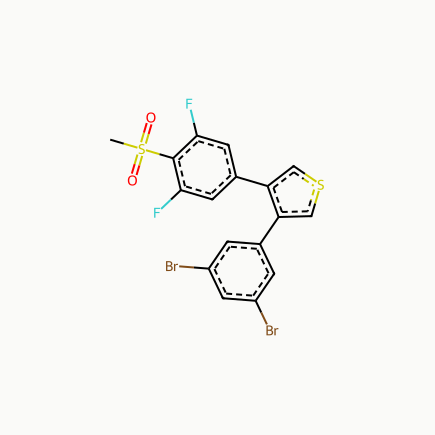 CS(=O)(=O)c1c(F)cc(-c2cscc2-c2cc(Br)cc(Br)c2)cc1F